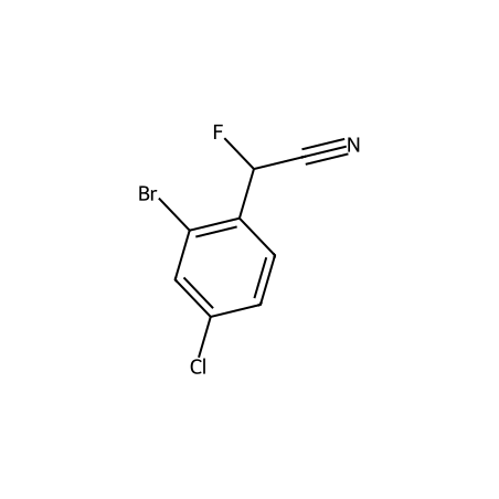 N#CC(F)c1ccc(Cl)cc1Br